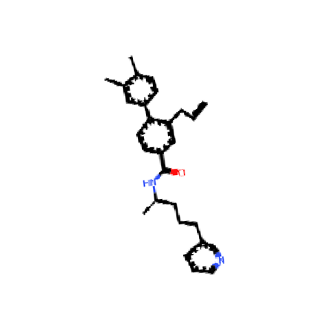 C=CCc1cc(C(=O)N[C@H](C)CCCc2cccnc2)ccc1-c1ccc(C)c(C)c1